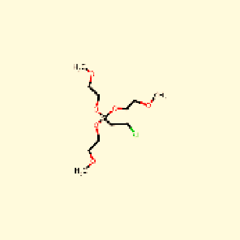 COCCO[Si](CCCl)(OCCOC)OCCOC